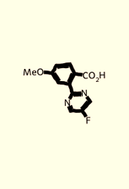 COc1ccc(C(=O)O)c(-c2ncc(F)cn2)c1